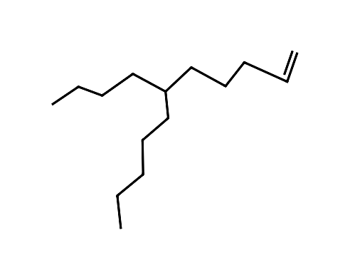 C=CCCCC(CCCC)CCCCC